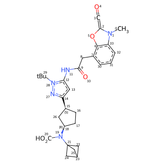 CN1C(=C=O)Oc2c(CC(=O)Nc3cc([C@H]4CC[C@@H](N(C(=O)O)C56CC(C5)C6)C4)nn3C(C)(C)C)cccc21